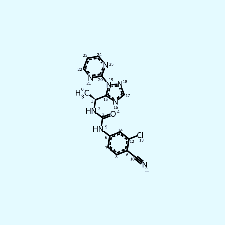 C[C@H](NC(=O)Nc1ccc(C#N)c(Cl)c1)c1ncnn1-c1ncccn1